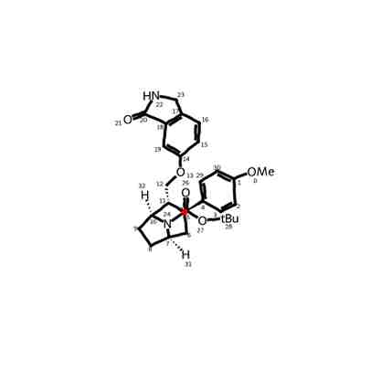 COc1ccc([C@H]2C[C@H]3CC[C@@H]([C@@H]2COc2ccc4c(c2)C(=O)NC4)N3C(=O)OC(C)(C)C)cc1